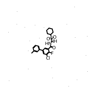 Cc1cccc(-c2cc(Cl)c(F)c(C(=O)NNS(=O)(=O)C3CCCCC3)c2)c1